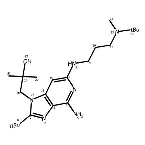 CCCCc1nc2c(N)nc(NCCCN(C)C(C)(C)C)cc2n1CC(C)(C)O